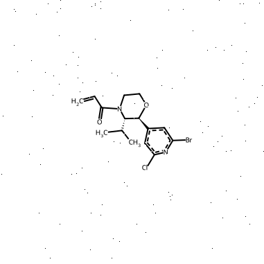 C=CC(=O)N1CCO[C@@H](c2cc(Cl)nc(Br)c2)[C@@H]1C(C)C